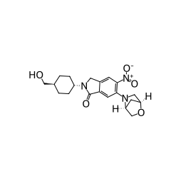 O=C1c2cc(N3C[C@@H]4C[C@H]3CO4)c([N+](=O)[O-])cc2CN1[C@H]1CC[C@H](CO)CC1